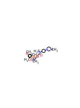 COc1cc(C)c(S(=O)(=O)N(C)CCOCC(=O)N(C)C2CCC(N3CCCN(C)CC3)CC2)c(C)c1